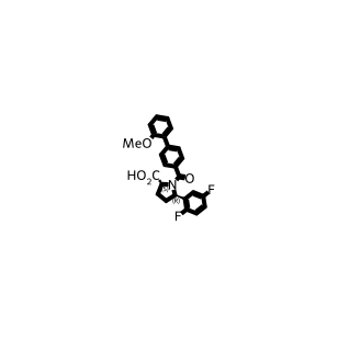 COc1ccccc1-c1ccc(C(=O)N2[C@@H](c3cc(F)ccc3F)CC[C@H]2C(=O)O)cc1